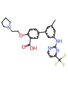 Cc1cc(Nc2nccc(C(F)(F)F)n2)cc(-c2ccc(OCCN3CCCC3)c(C(=O)O)c2)c1